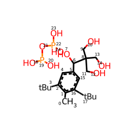 Cc1c(C(C)(C)C)cc(C(O)C(CO)(CO)CO)cc1C(C)(C)C.OP(O)OP(O)O